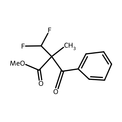 COC(=O)C(C)(C(=O)c1ccccc1)C(F)F